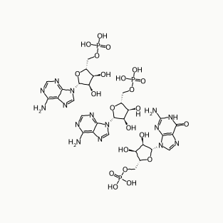 Nc1nc2c(ncn2[C@@H]2O[C@H](COP(=O)(O)O)[C@@H](O)[C@H]2O)c(=O)[nH]1.Nc1ncnc2c1ncn2[C@@H]1O[C@H](COP(=O)(O)O)[C@@H](O)[C@H]1O.Nc1ncnc2c1ncn2[C@@H]1O[C@H](COP(=O)(O)O)[C@@H](O)[C@H]1O